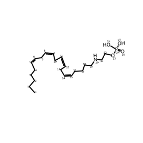 CCCCC/C=C\C/C=C\C/C=C\C/C=C\CCCCNCCOP(=O)(O)O